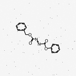 O=C(/N=N/C(=O)Oc1ccccc1)OCc1ccccc1